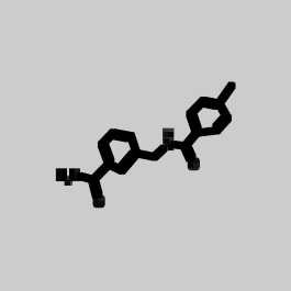 Cc1ccc(C(=O)NCc2cccc(C(N)=O)c2)cc1